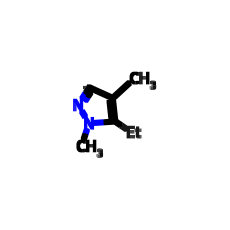 CCc1c(C)[c]nn1C